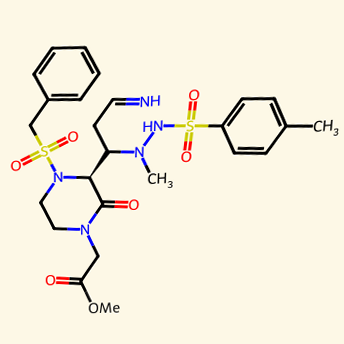 COC(=O)CN1CCN(S(=O)(=O)Cc2ccccc2)[C@@H](C(CC=N)N(C)NS(=O)(=O)c2ccc(C)cc2)C1=O